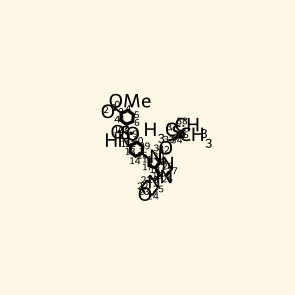 COC(=O)c1cccc(S(=O)(=O)Nc2ccc(-c3cc4c(N5CCOCC5)ncnc4n3COCC[Si](C)(C)C)cc2)c1